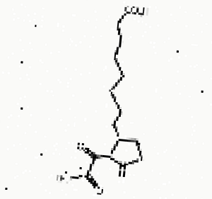 CC(C)(C)C(=O)C(=O)C1NCC[C@@H]1CCCCCCCC(=O)O